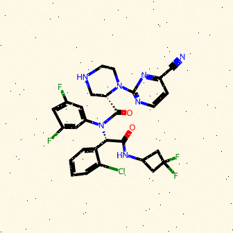 N#Cc1ccnc(N2CCNC[C@H]2C(=O)N(c2cc(F)cc(F)c2)[C@H](C(=O)NC2CC(F)(F)C2)c2ccccc2Cl)n1